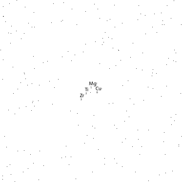 [Cu].[Mg].[Ti].[Zr]